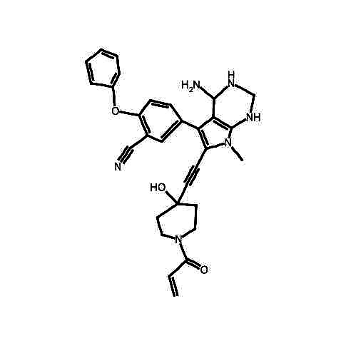 C=CC(=O)N1CCC(O)(C#Cc2c(-c3ccc(Oc4ccccc4)c(C#N)c3)c3c(n2C)NCNC3N)CC1